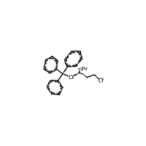 CCCC(CCCl)OC(c1ccccc1)(c1ccccc1)c1ccccc1